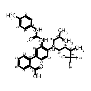 Cc1ccc(NC(=O)Nc2cc(-c3ccccc3C(=O)O)ccc2N(CCC(C)C(F)(F)F)CC(C)C)cc1